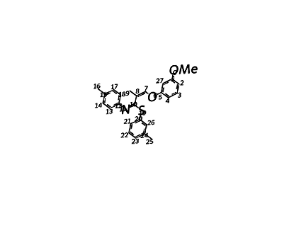 COc1cccc(OC=C(C)C(=Nc2ccc(C)cc2)Sc2cccc(C)c2)c1